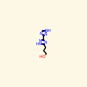 OCCCc1nc(-c2nc[nH]n2)n[nH]1